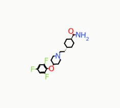 NC(=O)[C@H]1CC[C@H](CCN2CCC(Oc3c(F)cc(F)cc3F)CC2)CC1